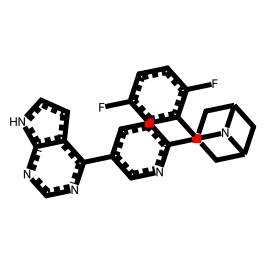 Fc1ccc(F)c(CN2C3CC2CN(c2ccc(-c4ncnc5[nH]ccc45)cn2)C3)c1